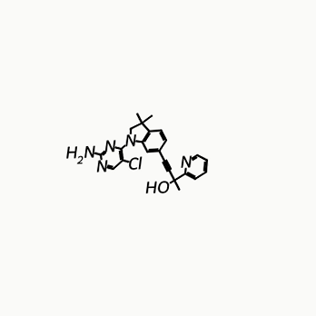 CC(O)(C#Cc1ccc2c(c1)N(c1nc(N)ncc1Cl)CC2(C)C)c1ccccn1